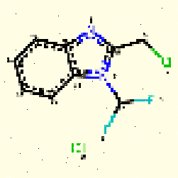 Cl.FC(F)n1c(CCl)nc2ccccc21